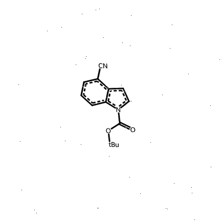 CC(C)(C)OC(=O)n1[c]cc2c(C#N)cccc21